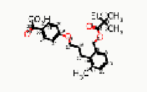 CCC(C)(C)C(=O)OCc1cccc(C)c1CCCOc1ccc(C(=O)C(=O)O)cc1